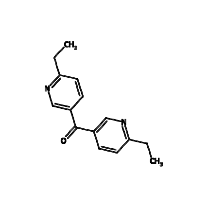 CCc1ccc(C(=O)c2ccc(CC)nc2)cn1